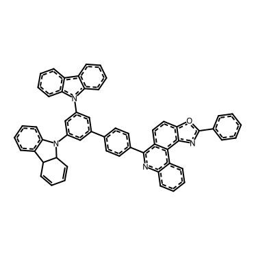 C1=CC2c3ccccc3N(c3cc(-c4ccc(-c5nc6ccccc6c6c5ccc5oc(-c7ccccc7)nc56)cc4)cc(-n4c5ccccc5c5ccccc54)c3)C2C=C1